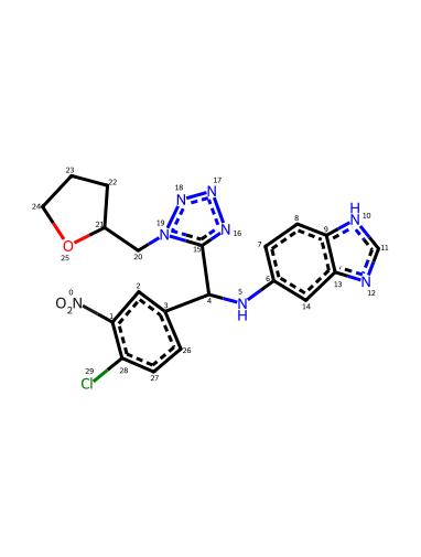 O=[N+]([O-])c1cc(C(Nc2ccc3[nH]cnc3c2)c2nnnn2CC2CCCO2)ccc1Cl